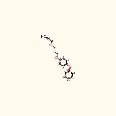 C#CCOCCCOc1ccc(Oc2ccccc2)cc1